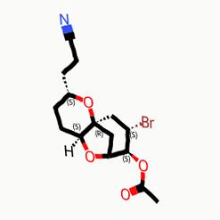 CC(=O)O[C@H]1C2C[C@]3(C[C@@H]1Br)O[C@@H](CCC#N)CC[C@@H]3O2